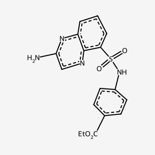 CCOC(=O)c1ccc(NS(=O)(=O)c2cccc3nc(N)cnc23)cc1